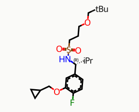 CC(C)[C@@H](NS(=O)(=O)CCCOCC(C)(C)C)c1ccc(F)c(OCC2CC2)c1